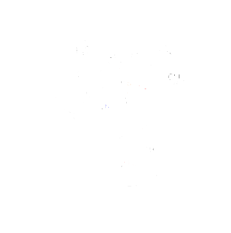 CC(C)(C)OC(=O)CN(CCO)CP(=O)(OC(C)(C)C)OC(C)(C)C